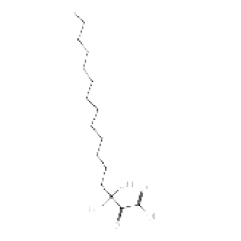 CCCCCCCCCCCCCC(S)(S)C(=O)C(=O)O